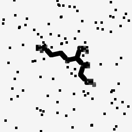 CCNC(C)SCCN